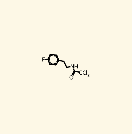 O=C(NCCc1ccc(F)cc1)C(Cl)(Cl)Cl